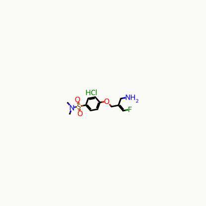 CN(C)S(=O)(=O)c1ccc(OC/C(=C/F)CN)cc1.Cl